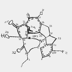 CCN1CN(C23c4cccc(F)c4CC2Cc2c(Cl)cccc23)n2ccc(=O)c(O)c2C1=O